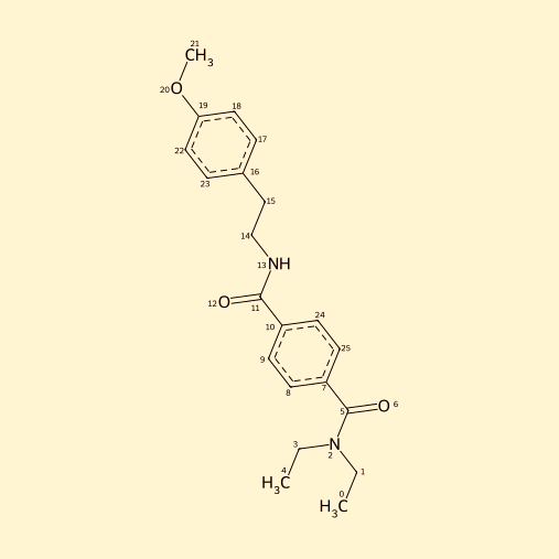 CCN(CC)C(=O)c1ccc(C(=O)NCCc2ccc(OC)cc2)cc1